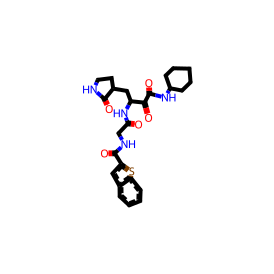 O=C(CNC(=O)c1cc2ccccc2s1)NC(CC1CCNC1=O)C(=O)C(=O)NC1CCCCC1